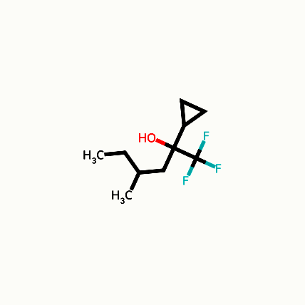 CCC(C)CC(O)(C1CC1)C(F)(F)F